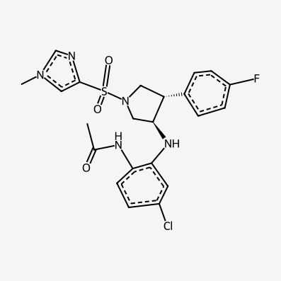 CC(=O)Nc1ccc(Cl)cc1N[C@H]1CN(S(=O)(=O)c2cn(C)cn2)C[C@@H]1c1ccc(F)cc1